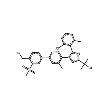 Cc1cc(-c2ccc(CO)c(S(C)(=O)=O)c2)ccc1-n1cc(C(C)(C)O)nc1-c1c(C)cccc1Cl